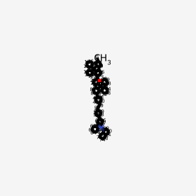 Cc1ccc2c(c1)C(c1ccccc1)(c1ccccc1)c1cc(-c3ccc4c(c3)C(c3ccccc3)(c3ccccc3)c3cc(-c5ccc(/C=C/c6ccc(-c7ccc8c(c7)c7ccccc7n8-c7cccc8ccccc78)cc6)cc5)ccc3-4)ccc1-2